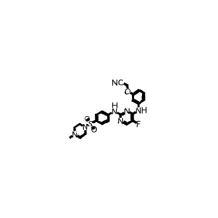 CN1CCN(S(=O)(=O)c2ccc(Nc3ncc(F)c(Nc4cccc(OCC#N)c4)n3)cc2)CC1